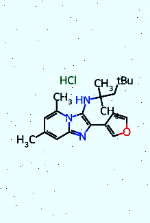 Cc1cc(C)n2c(NC(C)(C)CC(C)(C)C)c(-c3ccoc3)nc2c1.Cl